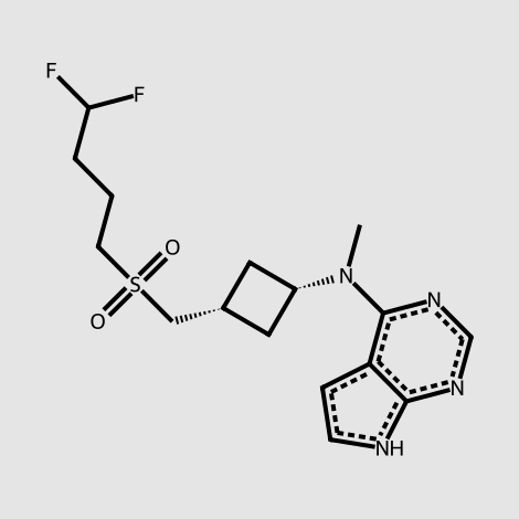 CN(c1ncnc2[nH]ccc12)[C@H]1C[C@@H](CS(=O)(=O)CCCC(F)F)C1